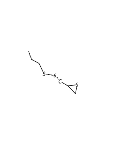 CCCSSCC1CS1